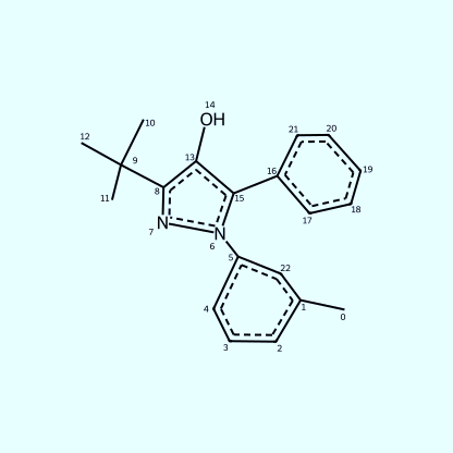 Cc1cccc(-n2nc(C(C)(C)C)c(O)c2-c2ccccc2)c1